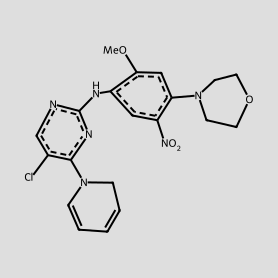 COc1cc(N2CCOCC2)c([N+](=O)[O-])cc1Nc1ncc(Cl)c(N2C=CC=CC2)n1